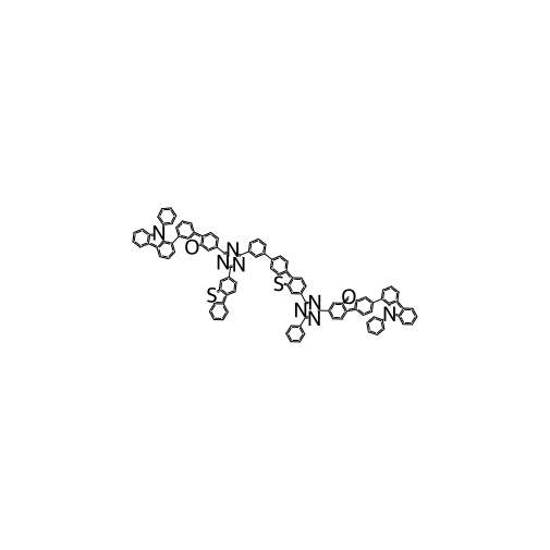 c1ccc(-c2nc(-c3ccc4c(c3)oc3cc(-c5cccc6c7ccccc7n(-c7ccccc7)c56)ccc34)nc(-c3ccc4c(c3)sc3cc(-c5cccc(-c6nc(-c7ccc8c(c7)oc7c(-c9cccc%10c%11ccccc%11n(-c%11ccccc%11)c9%10)cccc78)nc(-c7ccc8c(c7)sc7ccccc78)n6)c5)ccc34)n2)cc1